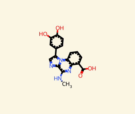 CNc1nc2c(C(=O)O)cccc2n2c(-c3ccc(O)c(O)c3)cnc12